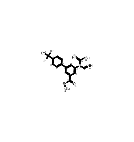 CCC(F)(F)c1ccc(-c2cc(C(=O)NC(C)(C)C)cc(N(C=N)C(=N)C(C)(C)C)c2)cc1